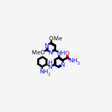 COc1cc(Nc2cc(N[C@@H]3CCCC[C@@H]3N)cnc2C(N)=O)nc(OC)n1